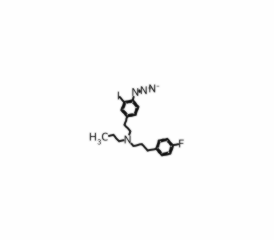 CCCN(CCCc1ccc(F)cc1)CCc1ccc(N=[N+]=[N-])c(I)c1